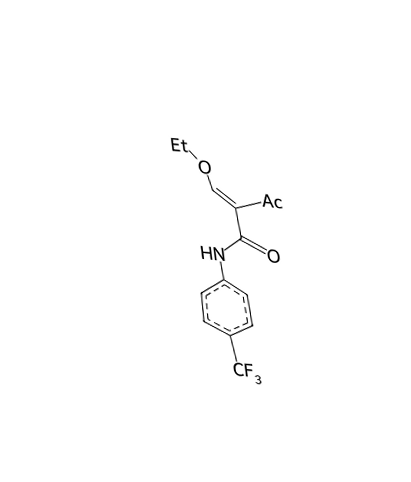 CCOC=C(C(C)=O)C(=O)Nc1ccc(C(F)(F)F)cc1